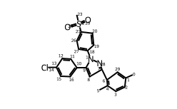 Cc1ccc(C)c(-c2cc(-c3ccc(Cl)cc3)n(-c3ccc(S(C)(=O)=O)cc3)n2)c1